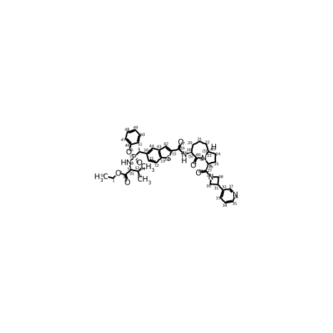 CCOC(=O)[C@@H](NP(=O)(Cc1ccc2sc(C(=O)N[C@H]3CCC[C@H]4CC[C@@H](C(=O)N5CC(c6cccnc6)C5)N4C3=O)cc2c1)Oc1ccccc1)C(C)C